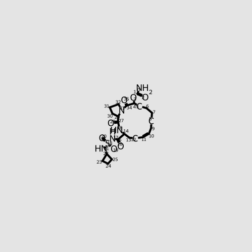 NC(=O)OC1CCCCCC=CCCC(C(=O)NS(=O)(=O)NC2CCC2)NC(=O)C2CCCN2C1=O